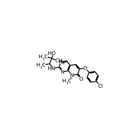 CC(Nc1ncc2cc(Oc3ccc(Cl)cc3)c(=O)n(C)c2n1)C(C)(C)O